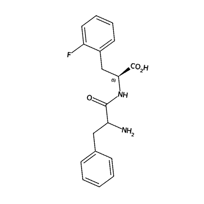 NC(Cc1ccccc1)C(=O)N[C@@H](Cc1ccccc1F)C(=O)O